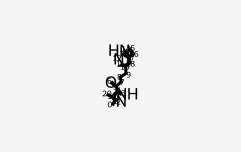 Cc1n[nH]c(C(=O)CCCc2cnc3[nH]ccc3c2)c1C